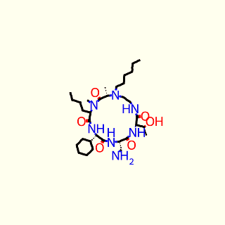 CCCCCCN1CCNC(=O)[C@H]([C@H](C)O)NC(=O)[C@H](CN)NC(=O)[C@H](C2CCCCC2)NC(=O)C(CCCC)N(C)C(=O)[C@@H]1C